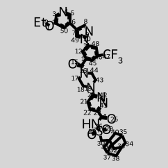 CCOc1cncc(-c2cnn(-c3cc(C(=O)N4CCN(c5ccc(C(=O)NS(=O)(=O)CC67CC8CC(CC(C8)C6)C7)nn5)CC4)cc(C(F)(F)F)c3)c2)c1